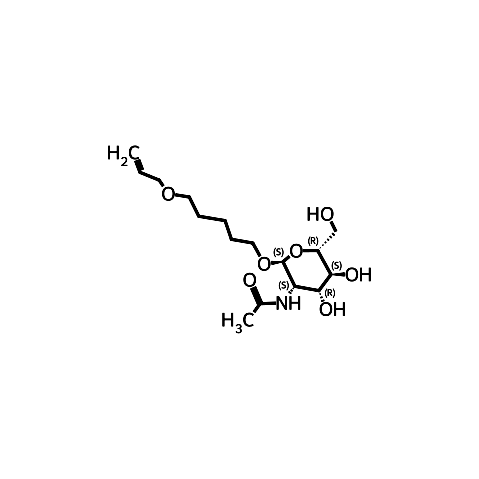 C=CCOCCCCCO[C@H]1O[C@H](CO)[C@@H](O)[C@H](O)[C@@H]1NC(C)=O